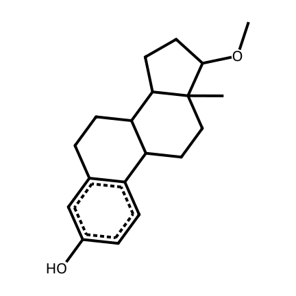 COC1CCC2C3CCc4cc(O)ccc4C3CCC12C